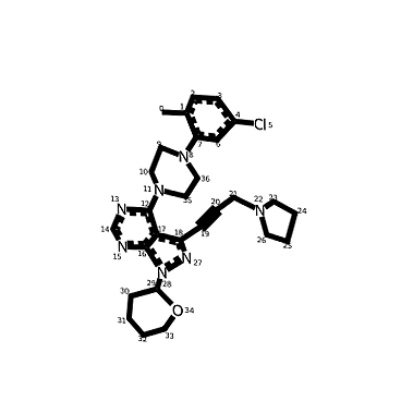 Cc1ccc(Cl)cc1N1CCN(c2ncnc3c2c(C#CCN2CCCC2)nn3C2CCCCO2)CC1